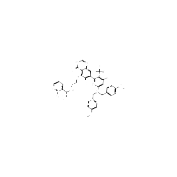 COc1ccc(CN(Cc2ccc(OC)cc2)c2cc(C)c(C(F)(F)F)c(-c3cc4nc[nH]c(=O)c4c(OCCNC(C)c4cccnc4N)c3Cl)n2)cc1